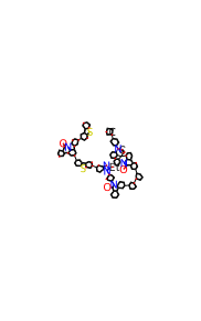 CCc1nc2cc(-c3ccc4c(c3)sc3ccc(-c5cc6c7ccccc7c(=O)n7c8ccc(-c9ccc%10sc%11ccccc%11c%10c9)cc8c(c5)c67)cc34)ccc2n1-c1ccc(-n2c(=O)c3ccccc3c3cc(-c4cccc(-c5cccc(-c6ccc7c(c6)c(=O)n6c8c(cccc78)C7(c8ccccc8N(c8ccc(-c9ccccc9)cc8)c8ccccc87)c7ccccc7-6)c5)c4)ccc32)cc1